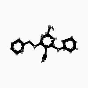 N#Cc1c(OCc2ccccn2)nc(N)nc1Oc1ccccc1